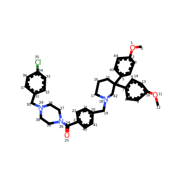 COc1ccc(C2(c3ccc(OC)cc3)CCCN(Cc3ccc(C(=O)N4CCN(Cc5ccc(Cl)cc5)CC4)cc3)C2)cc1